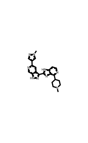 CN1CCC(c2nccc3[nH]c(-c4n[nH]c5cnc(-c6cnn(C)c6)cc45)nc23)CC1